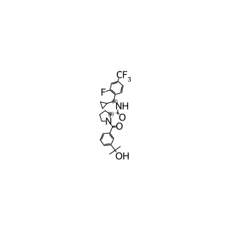 CC(C)(O)c1cccc(C(=O)N2CCC[C@@H]2C(=O)N[C@@H](c2ccc(C(F)(F)F)cc2F)C2CC2)c1